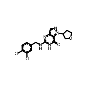 O=c1[nH]c(NCc2ccc(Cl)c(Cl)c2)nc2cnn(C3CCOC3)c12